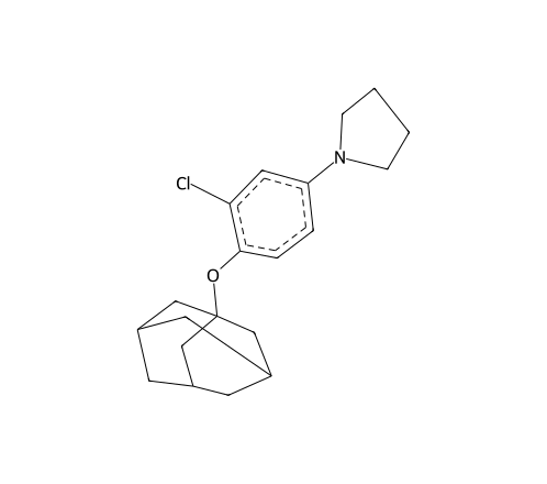 Clc1cc(N2CCCC2)ccc1OC12CC3CC(CC(C3)C1)C2